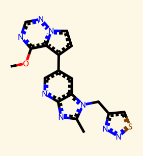 COc1ncnn2ccc(-c3cnc4nc(C)n(Cc5csnn5)c4c3)c12